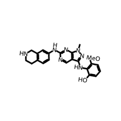 COc1cccc(O)c1Nc1nn(C)c2nc(Nc3ccc4c(c3)CNCC4)ncc12